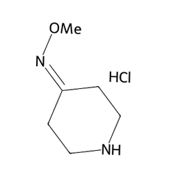 CON=C1CCNCC1.Cl